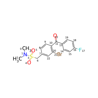 CN(C)S(=O)(=O)Cc1ccc(C(=O)c2ccc(F)cc2)c(Br)c1